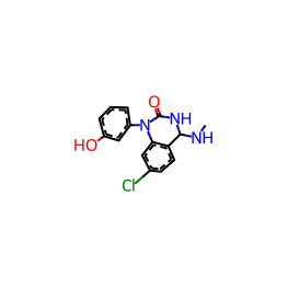 CNC1NC(=O)N(c2cccc(O)c2)c2cc(Cl)ccc21